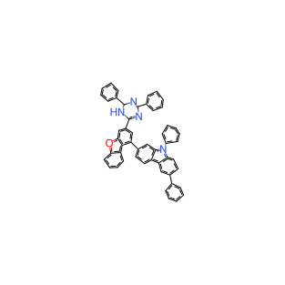 c1ccc(C2=NC(c3ccccc3)NC(c3cc(-c4ccc5c6cc(-c7ccccc7)ccc6n(-c6ccccc6)c5c4)c4c(c3)oc3ccccc34)=N2)cc1